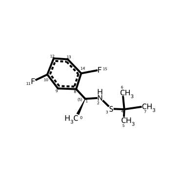 C[C@H](NSC(C)(C)C)c1cc(F)ccc1F